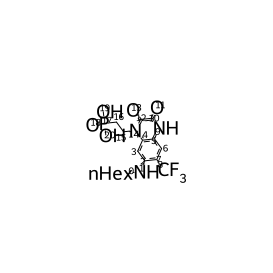 CCCCCCNc1cc2c(cc1C(F)(F)F)[nH]c(=O)c(=O)n2CCP(=O)(O)O